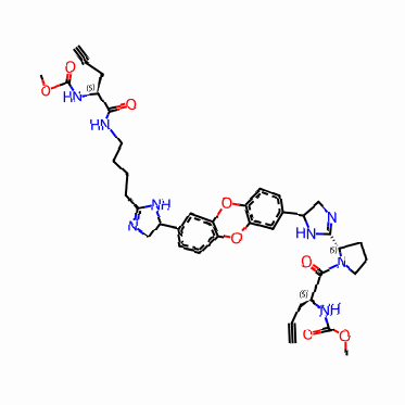 C#CC[C@H](NC(=O)OC)C(=O)NCCCCC1=NCC(c2ccc3c(c2)Oc2ccc(C4CN=C([C@@H]5CCCN5C(=O)[C@H](CC#C)NC(=O)OC)N4)cc2O3)N1